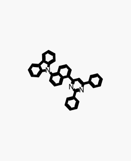 c1ccc(-c2cc(-c3cccc4c(-n5c6ccccc6c6ccccc65)cccc34)nc(-c3ccccc3)n2)cc1